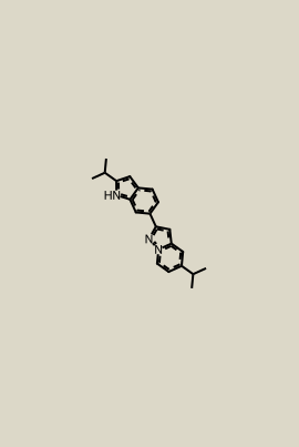 CC(C)c1ccn2nc(-c3ccc4cc(C(C)C)[nH]c4c3)cc2c1